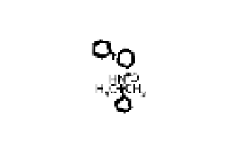 CC(C)(NC(=O)[C@H]1CCCN(c2ccccc2)C1)c1ccccc1